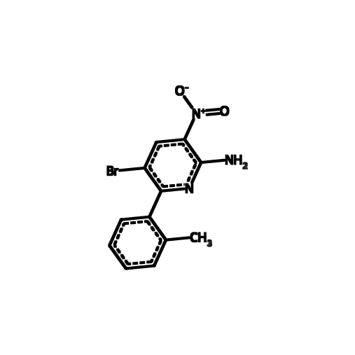 Cc1ccccc1-c1nc(N)c([N+](=O)[O-])cc1Br